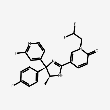 C[C@@H]1NC(c2ccc(=O)n(CC(F)F)c2)=N[C@@]1(c1ccc(F)cc1)c1ccnc(F)c1